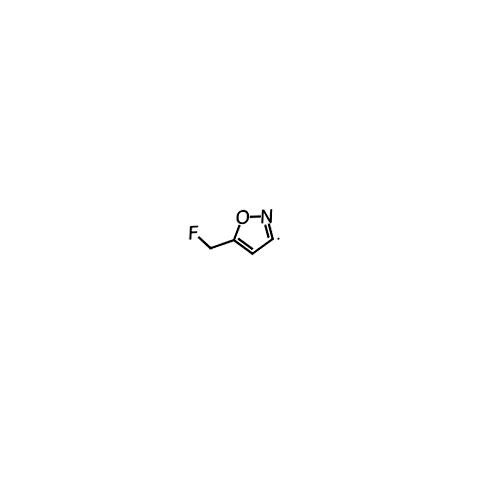 FCc1c[c]no1